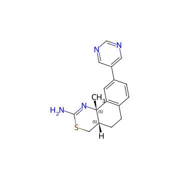 C[C@]12N=C(N)SC[C@H]1CCc1ccc(-c3cncnc3)cc12